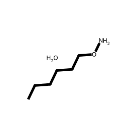 CCCCCCON.O